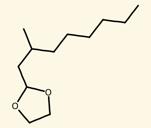 CCCCCCC(C)CC1OCCO1